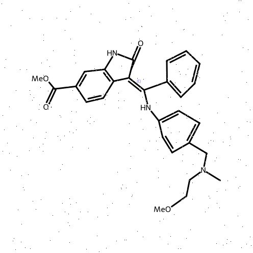 COCCN(C)Cc1ccc(N/C(=C2/C(=O)Nc3cc(C(=O)OC)ccc32)c2ccccc2)cc1